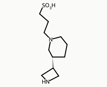 O=S(=O)(O)CCCN1CCC[C@H](C2CNC2)C1